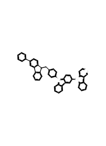 c1ccc(-c2ccc3c(c2)-c2ccccc2C3Cc2ccc(-n3c4ccccc4c4cc(-n5c6ccccc6c6cnccc65)ccc43)cc2)cc1